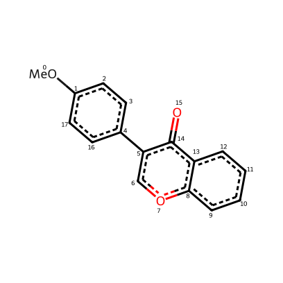 COc1ccc(-c2coc3ccccc3c2=O)cc1